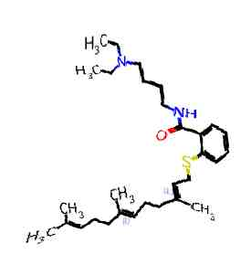 CCN(CC)CCCCNC(=O)c1ccccc1SC/C=C(\C)CC/C=C(\C)CCC=C(C)C